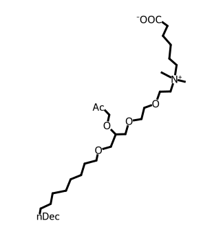 CCCCCCCCCCCCCCCCCCOCC(COCCOCC[N+](C)(C)CCCCCC(=O)[O-])OCC(C)=O